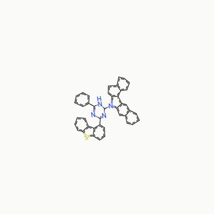 c1ccc(C2=NC(c3cccc4sc5ccccc5c34)=NC(n3c4cc5ccccc5cc4c4c5ccccc5ccc43)N2)cc1